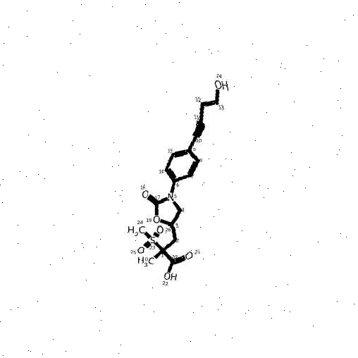 CC(CC1CN(c2ccc(C#CCCO)cc2)C(=O)O1)(C(=O)O)S(C)(=O)=O